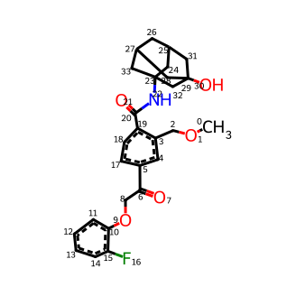 COCc1cc(C(=O)COc2ccccc2F)ccc1C(=O)NC12CC3CC(CC(O)(C3)C1)C2